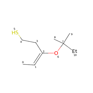 CC=C(CCS)OC(C)(C)CC